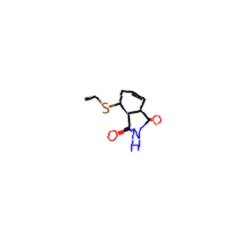 CCSC1CC=CC2C(=O)NC(=O)C12